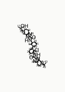 Cc1c(NC(=O)c2nc3c(n2C)CCN(CC(C)O)C3)cccc1-c1cccc(NC(=O)c2nc3c(n2C)CCN(C(C)C)C3)c1Cl